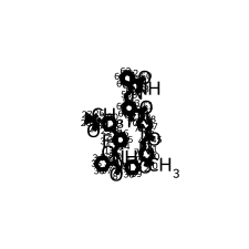 CC1(OC2CCN(C(=O)[C@H](NC(=O)c3cccc(C4CCCN(C(=O)C5(C)CC5)C4)c3F)C3CCCCC3)CC2)CCN(CC(=O)N2CCN(C(=O)c3cc(Cc4n[nH]c(=O)c5ccccc45)ccc3F)CC2)CC1